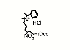 CCCCCCCCCCCCC(CCC[N+](C)(C)C(C)c1ccccc1)[N+](=O)[O-].Cl